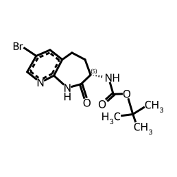 CC(C)(C)OC(=O)N[C@H]1CCc2cc(Br)cnc2NC1=O